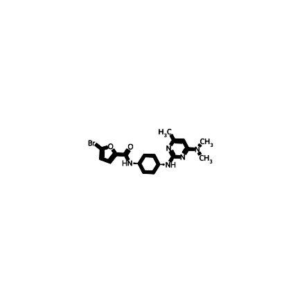 Cc1cc(N(C)C)nc(N[C@H]2CC[C@@H](NC(=O)c3ccc(Br)o3)CC2)n1